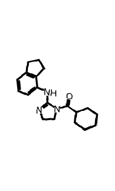 O=C(C1CCCCC1)N1CCN=C1Nc1cccc2c1CCC2